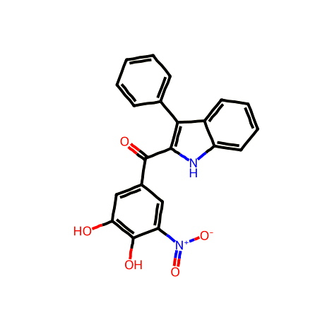 O=C(c1cc(O)c(O)c([N+](=O)[O-])c1)c1[nH]c2ccccc2c1-c1ccccc1